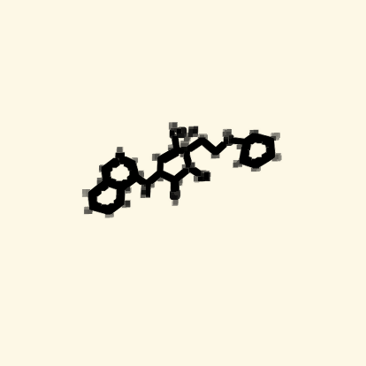 CCN1C(=O)C(Nc2cncc3ccccc23)C=C(C(=O)O)N1CCOc1ccccc1